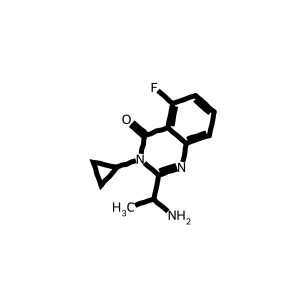 CC(N)c1nc2cccc(F)c2c(=O)n1C1CC1